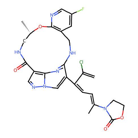 C=C(Cl)/C(=C\C=C(/C)N1CCOC1=O)c1cn2ncc3c2nc1NCc1cc(F)cnc1O[C@@H](C)CNC3=O